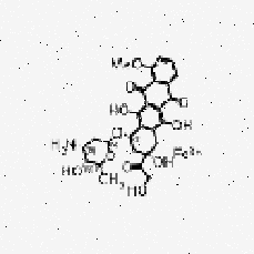 COc1cccc2c1C(=O)c1c(O)c3c(c(O)c1C2=O)C[C@@](O)(C(=O)CO)C[C@@H]3O[C@@H]1C[C@@H](N)[C@@H](O)[C@@H](C)O1.[Fe+3]